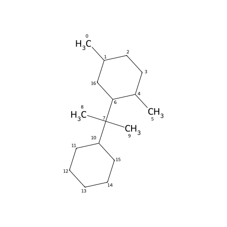 CC1CCC(C)C(C(C)(C)C2CCCCC2)C1